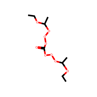 CCOC(C)OOOC(=O)OOOC(C)OCC